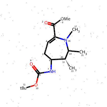 COC(=O)C1=CCC(NC(=O)OC(C)(C)C)[C@@H](C)C(C)N1C